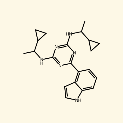 CC(Nc1nc(NC(C)C2CC2)nc(-c2cccc3[nH]ccc23)n1)C1CC1